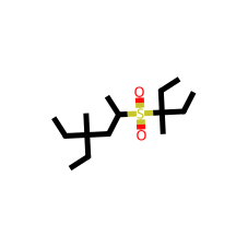 CCC(C)(CC)CC(C)S(=O)(=O)C(C)(CC)CC